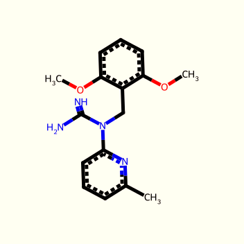 COc1cccc(OC)c1CN(C(=N)N)c1cccc(C)n1